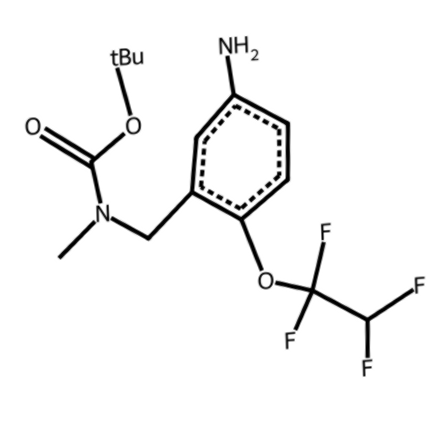 CN(Cc1cc(N)ccc1OC(F)(F)C(F)F)C(=O)OC(C)(C)C